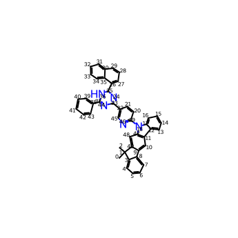 CC1(C)c2ccccc2-c2cc3c4ccccc4n(-c4ccc(C5=NC(c6cccc7ccccc67)NC(c6ccccc6)=N5)cn4)c3cc21